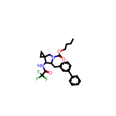 CCCCOC(=O)N1CC2(CC2)C(NC(=O)C(F)(F)F)C1Cc1cccc(-c2ccccc2)c1